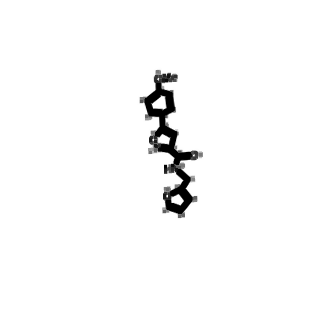 COc1ccc(-c2cc(C(=O)NCc3ccco3)no2)cc1